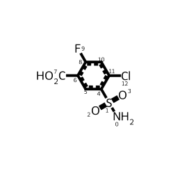 NS(=O)(=O)c1cc(C(=O)O)c(F)cc1Cl